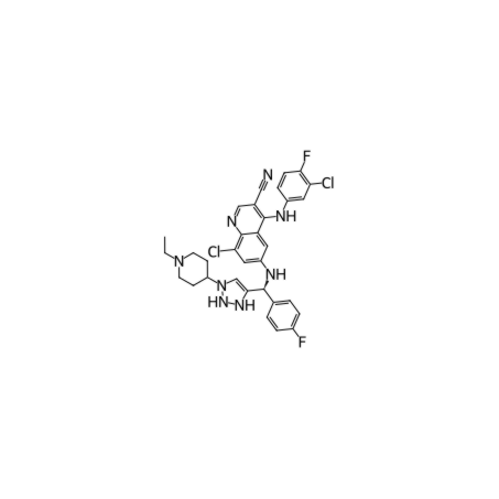 CCN1CCC(N2C=C([C@@H](Nc3cc(Cl)c4ncc(C#N)c(Nc5ccc(F)c(Cl)c5)c4c3)c3ccc(F)cc3)NN2)CC1